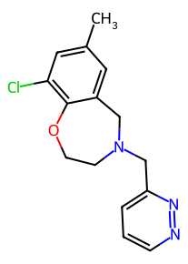 Cc1cc(Cl)c2c(c1)CN(Cc1cccnn1)CCO2